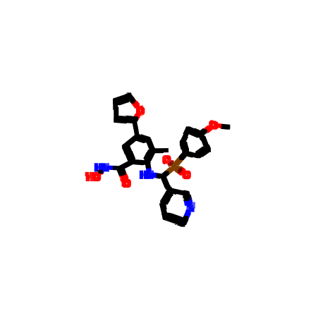 COc1ccc(S(=O)(=O)C(Nc2c(C)cc(-c3ccco3)cc2C(=O)NO)c2cccnc2)cc1